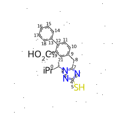 CC(C)Cn1nc(S)nc1Cc1ccc(-c2ccccc2)c(C(=O)O)c1